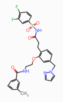 Cc1cccc(C(=O)NCCOc2cc(Cn3cccn3)ccc2CCC(=O)NS(=O)(=O)c2ccc(F)c(F)c2)c1